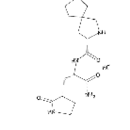 Cl.NC(=O)[C@H](C[C@@H]1CCNC1=O)NC(=O)[C@@H]1CC2(CCCC2)CN1